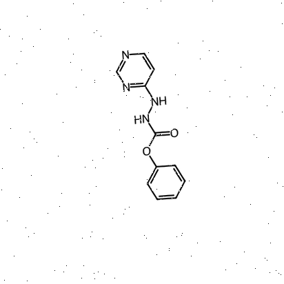 O=C(NNc1ccncn1)Oc1ccccc1